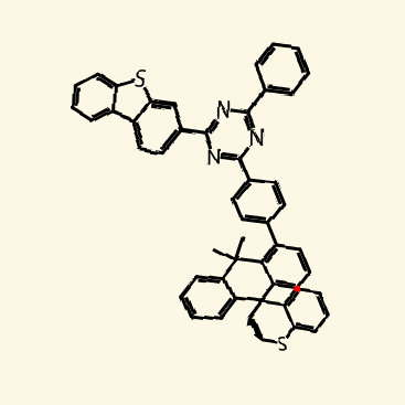 CC1(C)c2ccccc2C2(c3ccccc3Sc3ccccc32)c2cccc(-c3ccc(-c4nc(-c5ccccc5)nc(-c5ccc6c(c5)sc5ccccc56)n4)cc3)c21